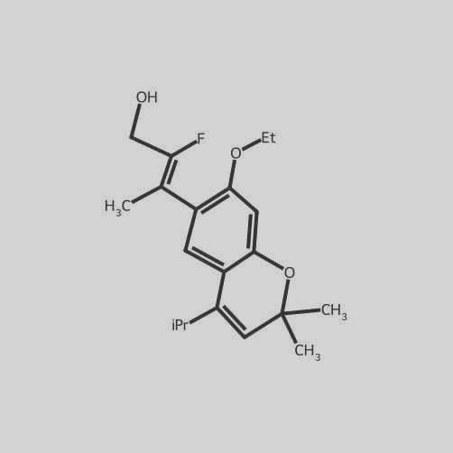 CCOc1cc2c(cc1C(C)=C(F)CO)C(C(C)C)=CC(C)(C)O2